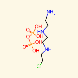 NCCNCCNCCCl.O=P(O)(O)OP(=O)(O)O